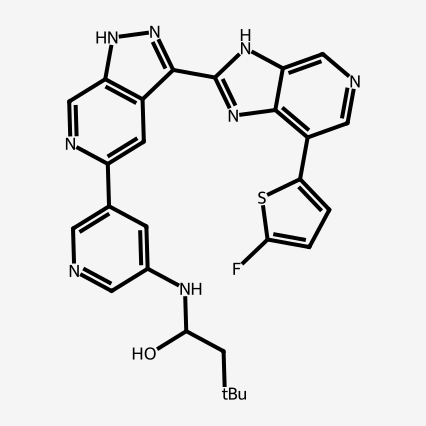 CC(C)(C)CC(O)Nc1cncc(-c2cc3c(-c4nc5c(-c6ccc(F)s6)cncc5[nH]4)n[nH]c3cn2)c1